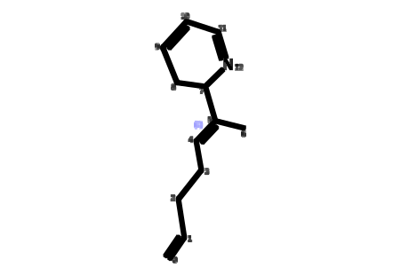 C=CCC/C=C(\C)C1CC=CC=N1